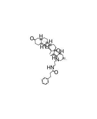 CC1=C2C[C@H]3[C@@H](CC[C@@H]4CC(=O)CC[C@@]43C)[C@@H]2CC[C@]12O[C@@H]1C[C@H](C)CN(CCNC(=O)CCc3ccccc3)[C@H]1[C@H]2C